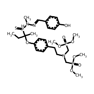 CCC(C)(Oc1ccc(CCN(CP(=O)(OC)OC)CP(=O)(OC)OC)cc1)[PH](=S)N(C)/N=C/c1ccc(O)cc1